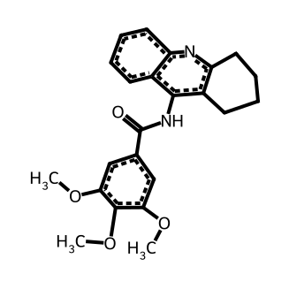 COc1cc(C(=O)Nc2c3c(nc4ccccc24)CCCC3)cc(OC)c1OC